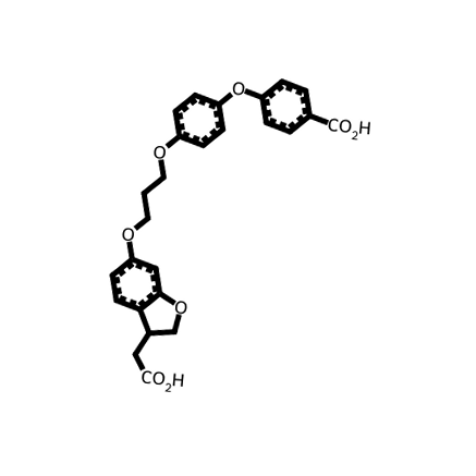 O=C(O)CC1COc2cc(OCCCOc3ccc(Oc4ccc(C(=O)O)cc4)cc3)ccc21